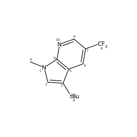 Cn1cc(C(C)(C)C)c2cc(C(F)(F)F)cnc21